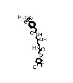 CS(=O)(=O)c1ccc(CC(=O)NCC(O)CCNC(=O)COc2ccc(Cl)c(F)c2)cc1